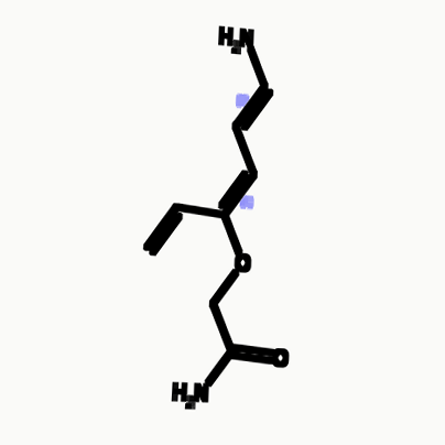 C=C/C(=C\C=C\N)OCC(N)=O